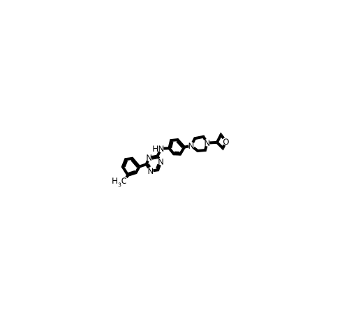 Cc1cccc(-c2ncnc(Nc3ccc(N4CCN(C5COC5)CC4)cc3)n2)c1